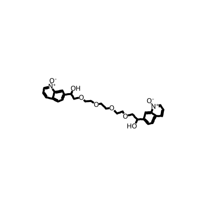 [O-][n+]1cccc2ccc(C(O)COCCOCCOCCOCC(O)c3ccc4ccc[n+]([O-])c4c3)cc21